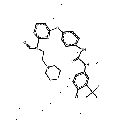 O=CN(CCN1CCOCC1)c1cc(Oc2ccc(NC(=O)Nc3ccc(Cl)c(C(F)(F)F)c3)cc2)ccn1